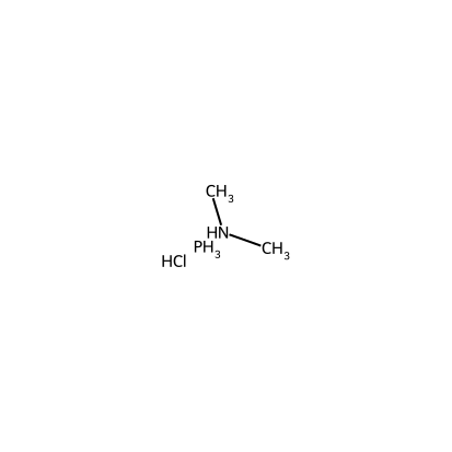 CNC.Cl.P